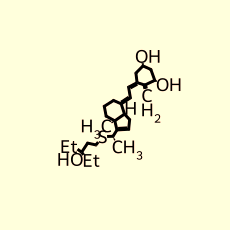 C=C1C(=CC=C2CCC[C@]3(C)C([C@H](C)SCCC(O)(CC)CC)=CC[C@@H]23)C[C@@H](O)C[C@@H]1O